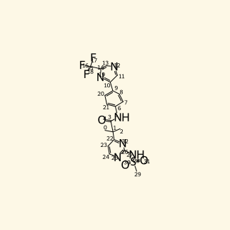 CC(C)(C(=O)Nc1ccc(-c2cncc(C(F)(F)F)n2)cc1)c1ccnc(NS(C)(=O)=O)n1